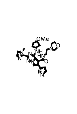 CO[C@H]1CC[C@H](Nc2nc(-c3nccn3C)nn3cc(-c4ccn(C)n4)c(C(=O)NCCN4CCOCC4)c23)C1